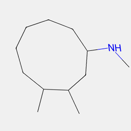 CNC1CCCCCC(C)C(C)C1